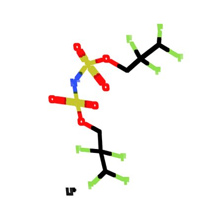 O=S(=O)([N-]S(=O)(=O)OCC(F)(F)C(F)F)OCC(F)(F)C(F)F.[Li+]